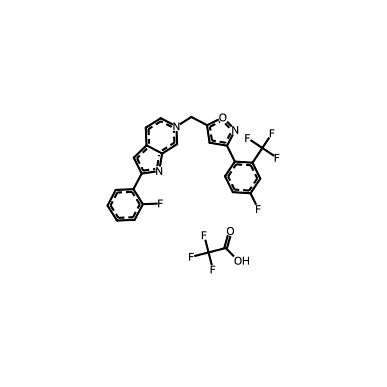 Fc1ccc(-c2cc(Cn3ccc4cc(-c5ccccc5F)nc-4c3)on2)c(C(F)(F)F)c1.O=C(O)C(F)(F)F